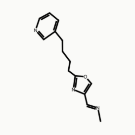 C/N=C/c1coc(CCCCc2cccnc2)n1